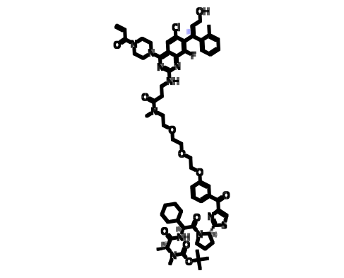 C=CC(=O)N1CCN(c2nc(NCCC(=O)N(C)CCOCCOCCOc3cccc(C(=O)c4csc([C@@H]5CCCN5C(=O)[C@@H](NC(=O)[C@H](C)N(C)C(=O)OC(C)(C)C)C5CCCCC5)n4)c3)nc3c(F)c(/C(=C/CO)c4ccccc4C)c(Cl)cc23)CC1